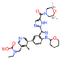 CCN(Cc1cncc(-c2ccc3c(c2)c(-c2ncc(C(=O)N4C[C@@H](C)O[C@@H](C)C4)[nH]2)nn3C2CCCCO2)c1C)C(=O)O